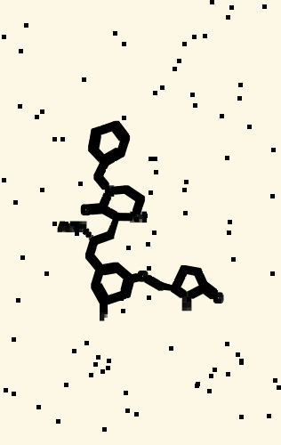 CC(=O)N[C@@H](Cc1cc(F)cc(OC[C@H]2CCC(=O)N2)c1)C[C@@H]1NCCN(Cc2ccccc2)C1=O